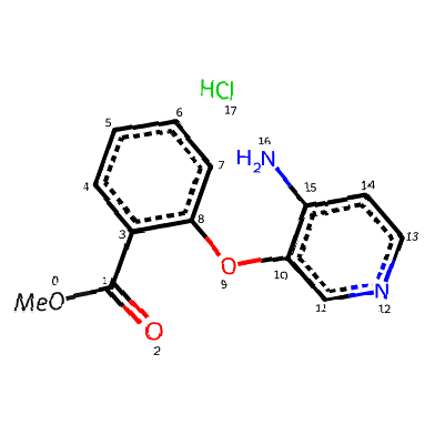 COC(=O)c1ccccc1Oc1cnccc1N.Cl